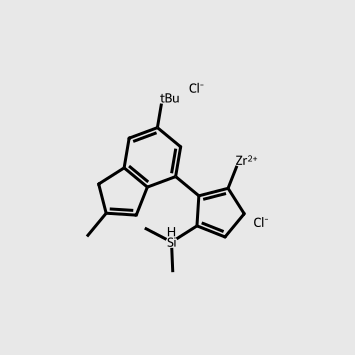 CC1=Cc2c(cc(C(C)(C)C)cc2C2=[C]([Zr+2])CC=C2[SiH](C)C)C1.[Cl-].[Cl-]